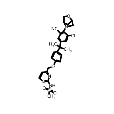 CC(C)(c1ccc(OCc2ccnc(NS(C)(=O)=O)n2)cc1)c1cc(Cl)c(N2CC3CC2CO3)c(C#N)c1